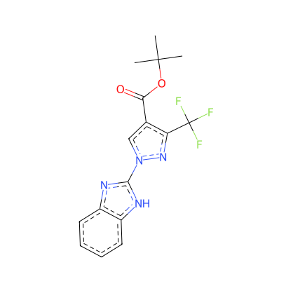 CC(C)(C)OC(=O)c1cn(-c2nc3ccccc3[nH]2)nc1C(F)(F)F